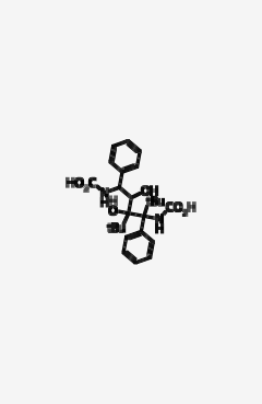 CC(C)(C)C(NC(=O)O)(c1ccccc1)C(O)(C(O)C(NC(=O)O)c1ccccc1)C(C)(C)C